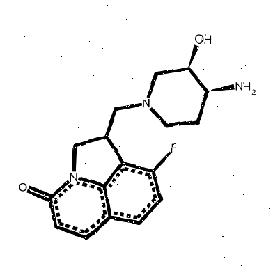 N[C@H]1CCN(CC2Cn3c(=O)ccc4ccc(F)c2c43)C[C@H]1O